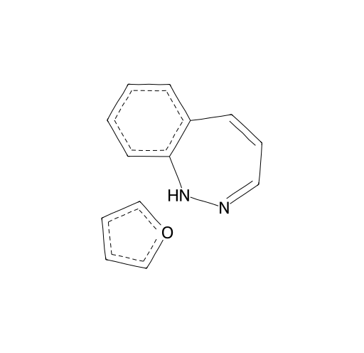 C1=Cc2ccccc2NN=C1.c1ccoc1